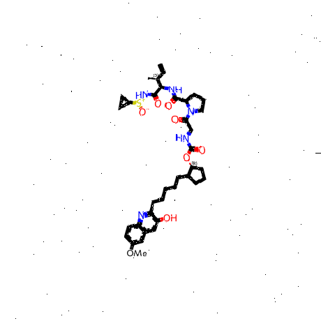 C=C[C@H](C)C(NC(=O)C1CCCN1C(=O)CNC(=O)O[C@@H]1CCCC1CCCCCc1nc2ccc(OC)cc2cc1O)C(=O)N[S+]([O-])C1CC1